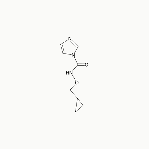 O=C(NOCC1CC1)n1ccnc1